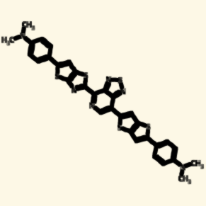 CN(C)c1ccc(-c2cc3sc(-c4cnc(-c5nc6sc(-c7ccc(N(C)C)cc7)cc6s5)c5nsnc45)cc3s2)cc1